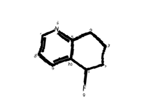 FC1CCCc2ncccc21